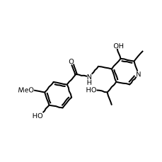 COc1cc(C(=O)NCc2c(C(C)O)cnc(C)c2O)ccc1O